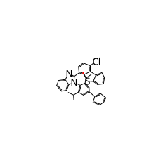 CC(C)c1cc(-c2ccccc2)cc(C(C)C)c1-n1c(-c2ccc(Cl)c3c2sc2ccccc23)nc2ccccc21